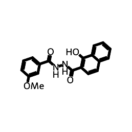 COc1cccc(C(=O)NNC(=O)c2ccc3ccccc3c2O)c1